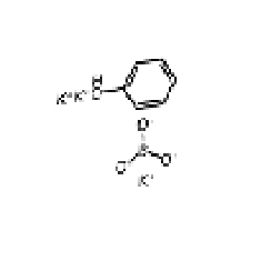 Oc1ccccc1.[K+].[K+].[K+].[O-]B([O-])[O-]